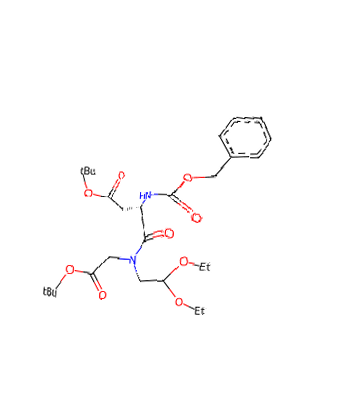 CCOC(CN(CC(=O)OC(C)(C)C)C(=O)[C@H](CC(=O)OC(C)(C)C)NC(=O)OCc1ccccc1)OCC